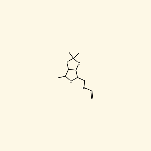 C=CNCC1OC(C)C2OC(C)(C)OC12